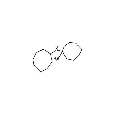 BC1(BC2CCCCCCC2)CCCCCCC1